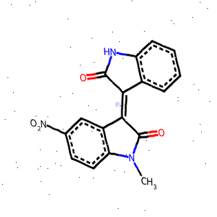 CN1C(=O)/C(=C2/C(=O)Nc3ccccc32)c2cc([N+](=O)[O-])ccc21